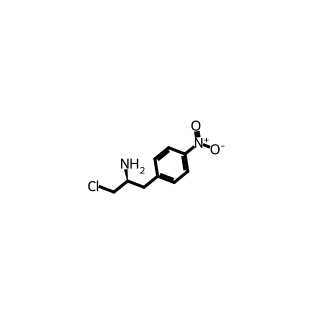 N[C@H](CCl)Cc1ccc([N+](=O)[O-])cc1